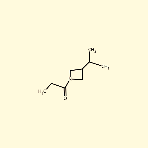 CCC(=O)N1CC(C(C)C)C1